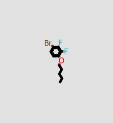 CCCCCOc1ccc(Br)c(F)c1F